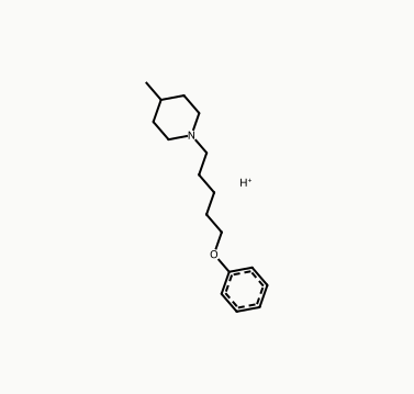 CC1CCN(CCCCCOc2ccccc2)CC1.[H+]